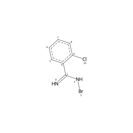 N=C(NBr)c1ccccc1Cl